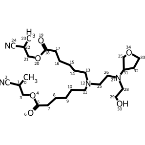 CC(C#N)COC(=O)CCCCCN(CCCCCC(=O)OCC(C)C#N)CCN(CCO)C1CCOC1